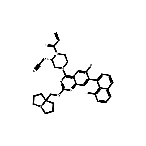 C=CC(=O)N1CCN(c2nc(OCC34CCCN3CCC4)nc3cc(-c4cccc5cccc(Cl)c45)c(F)cc23)C[C@@H]1CC#N